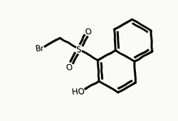 O=S(=O)(CBr)c1c(O)ccc2ccccc12